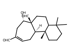 CC1(C)CCC[C@@]2(C)C1CC[C@@]1(C=O)[C@@H](O)CC(C=O)=CC[C@@H]12